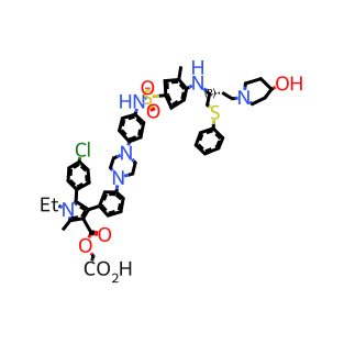 CCn1c(C)c(C(=O)OCC(=O)O)c(-c2cccc(N3CCN(c4ccc(NS(=O)(=O)c5ccc(N[C@H](CCN6CCC(O)CC6)CSc6ccccc6)c(C)c5)cc4)CC3)c2)c1-c1ccc(Cl)cc1